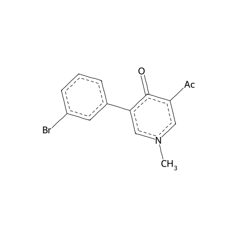 CC(=O)c1cn(C)cc(-c2cccc(Br)c2)c1=O